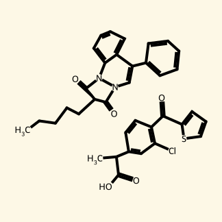 CC(C(=O)O)c1ccc(C(=O)c2cccs2)c(Cl)c1.CCCCCC1C(=O)N2C=C(c3ccccc3)c3ccccc3N2C1=O